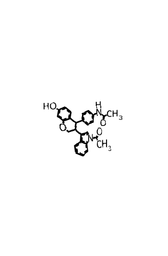 CC(=O)Nc1ccc(C2c3ccc(O)cc3OCC2c2cn(C(C)=O)c3ccccc23)cc1